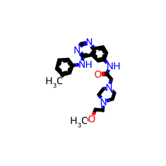 COCCN1CCN(CC(=O)Nc2ccc3ncnc(Nc4cccc(C)c4)c3c2)CC1